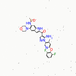 Cc1cc(Oc2c(F)cccc2F)ncc1-n1ncc(C(=O)c2cc3cc(N4CCOCC4)c(N[S+](C)[O-])cc3[nH]2)c1N